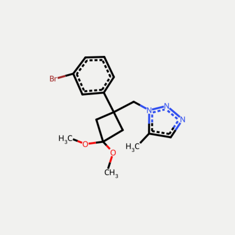 COC1(OC)CC(Cn2nncc2C)(c2cccc(Br)c2)C1